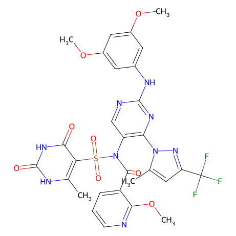 COc1cc(Nc2ncc(N(C(=O)c3cccnc3OC)S(=O)(=O)c3c(C)[nH]c(=O)[nH]c3=O)c(-n3nc(C(F)(F)F)cc3C)n2)cc(OC)c1